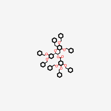 O=C(O[C@H]1Cc2c(OCc3ccccc3)cc(OCc3ccccc3)c(Cc3ccccc3)c2O[C@@H]1c1ccc(OCc2ccccc2)c(OCc2ccccc2)c1)c1cc(OCc2ccccc2)c(OCc2ccccc2)c(OCc2ccccc2)c1